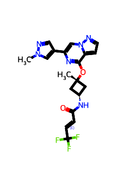 Cn1cc(-c2cn3nccc3c(O[C@]3(C)C[C@H](NC(=O)/C=C/C(F)(F)F)C3)n2)cn1